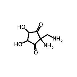 NCC1(N)C(=O)C(O)C(O)C1=O